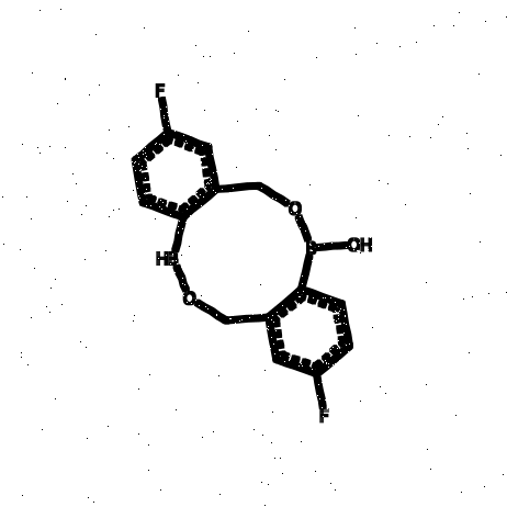 OB1OCc2cc(F)ccc2BOCc2cc(F)ccc21